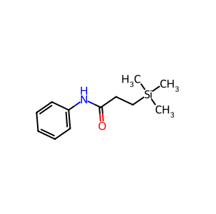 C[Si](C)(C)CCC(=O)Nc1ccccc1